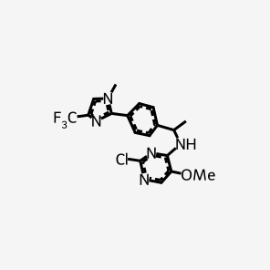 COc1cnc(Cl)nc1NC(C)c1ccc(-c2nc(C(F)(F)F)cn2C)cc1